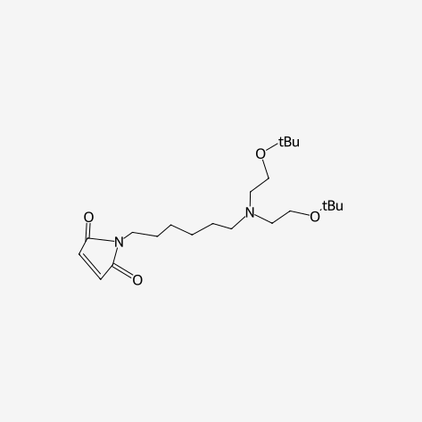 CC(C)(C)OCCN(CCCCCCN1C(=O)C=CC1=O)CCOC(C)(C)C